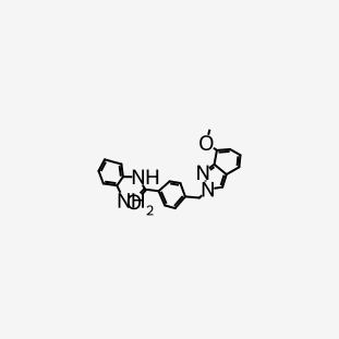 COc1cccc2cn(Cc3ccc(C(=O)Nc4ccccc4N)cc3)nc12